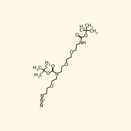 CC(C)(C)OC(=O)NCCOCCOCCN(CCOCCN=[N+]=[N-])C(=O)OC(C)(C)C